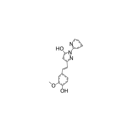 COc1cc(C=Cc2cc(O)n(-c3ccccn3)n2)ccc1O